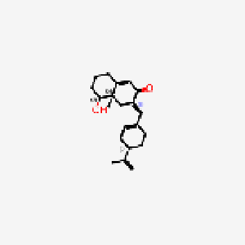 C=C(C)[C@H]1CC=C(/C=C2\C[C@@]3(C)C(=CC2=O)CCC[C@@H]3O)CC1